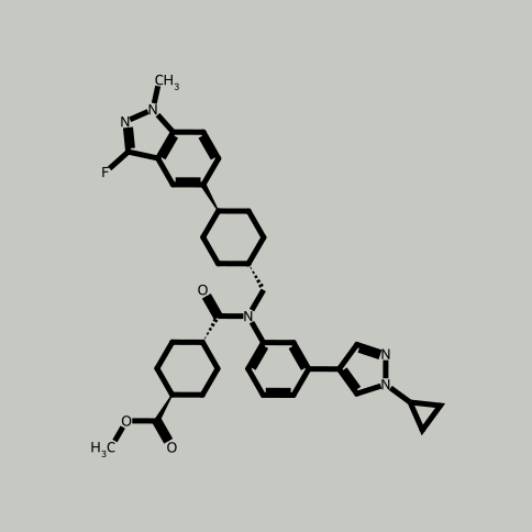 COC(=O)[C@H]1CC[C@H](C(=O)N(C[C@H]2CC[C@H](c3ccc4c(c3)c(F)nn4C)CC2)c2cccc(-c3cnn(C4CC4)c3)c2)CC1